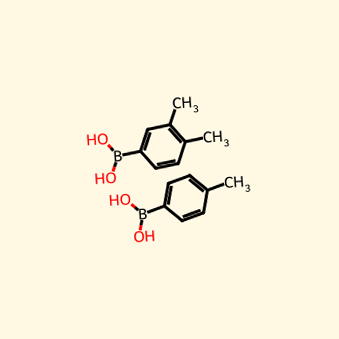 Cc1ccc(B(O)O)cc1.Cc1ccc(B(O)O)cc1C